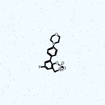 O=S1(=O)NCc2cc(F)cc(-c3ccc(N4CCOCC4)cc3)c2O1